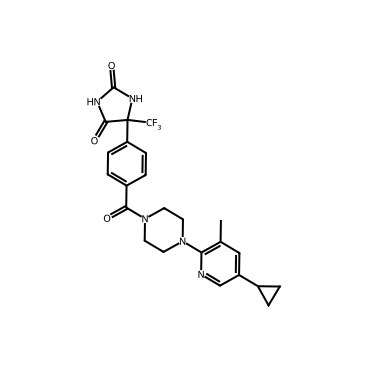 Cc1cc(C2CC2)cnc1N1CCN(C(=O)c2ccc(C3(C(F)(F)F)NC(=O)NC3=O)cc2)CC1